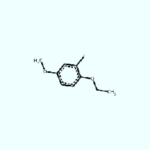 CCOc1ccc(OC)cc1I